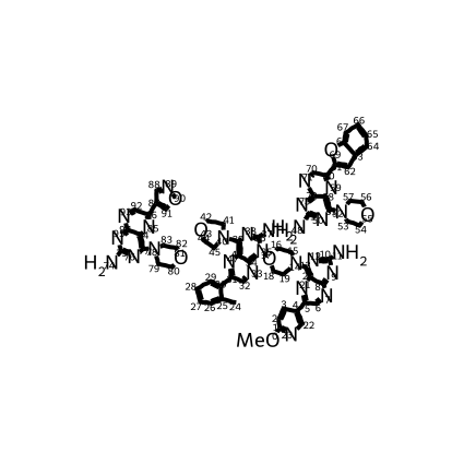 COc1ccc(-c2cnc3nc(N)nc(N4CCOCC4)c3n2)cn1.Cc1ccccc1-c1cnc2nc(N)nc(N3CCOCC3)c2n1.Nc1nc(N2CCOCC2)c2nc(-c3cc4ccccc4o3)cnc2n1.Nc1nc(N2CCOCC2)c2nc(-c3cnoc3)cnc2n1